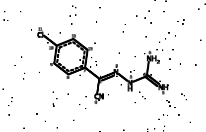 N#CC(=NNC(=N)N)c1ccc(Cl)cc1